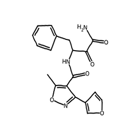 Cc1onc(-c2ccoc2)c1C(=O)NC(Cc1ccccc1)C(=O)C(N)=O